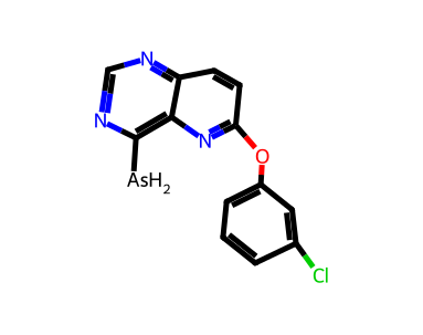 Clc1cccc(Oc2ccc3ncnc([AsH2])c3n2)c1